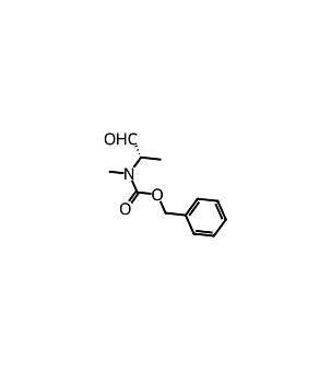 C[C@@H](C=O)N(C)C(=O)OCc1ccccc1